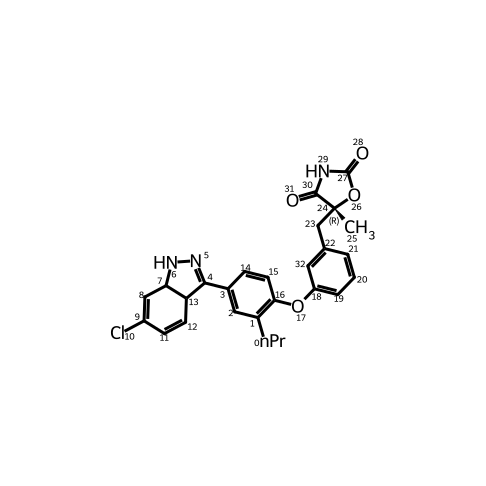 CCCc1cc(C2=NNC3C=C(Cl)C=CC23)ccc1Oc1cccc(C[C@@]2(C)OC(=O)NC2=O)c1